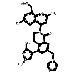 CCc1cc(COC)c2nc(C)cc(N3CCc4c(cc(Cn5ccnc5)cc4-c4cn(C)nc4C(F)(F)F)C3=O)c2c1